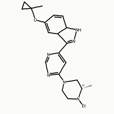 CCN1CCN(c2cc(C3=NNC4C=CC(OC5(C)CC5)=CC34)ncn2)C[C@@H]1C